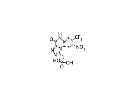 O=c1[nH]c2cc(C(F)(F)F)c([N+](=O)[O-])cc2n2c(CP(=O)(O)O)nnc12